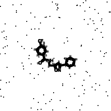 O=C(NCc1cc(-c2ccccc2)no1)c1ccc(C(F)(F)F)cc1